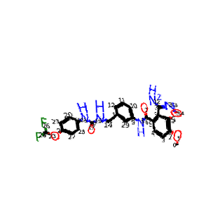 COc1ccc(C(=O)Nc2cccc(CNC(=O)Nc3ccc(OC(F)F)cc3)c2)c2c(N)noc12